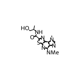 CNc1nc2sc(C(=O)NC(C)CO)nc2c2c1ncn2C